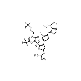 CC(C)Cc1cc(-c2ccc(Cn3ccnc3C(C)C)c(F)c2)c(S(=O)(=O)N(OC(=O)C(F)(F)F)C(=O)NCCCC(F)(F)F)s1